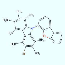 Bc1c(B)c(B)c2c(c1B)c1c(B)c(Br)c(B)c(B)c1n2-c1cccc2c1oc1ccccc12